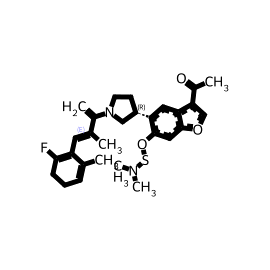 C=C(/C(C)=C/C1=C(F)CCC=C1C)N1CC[C@H](c2cc3c(C(C)=O)coc3cc2OSN(C)C)C1